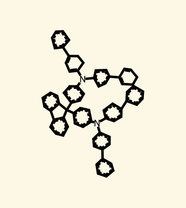 C1=CC(c2ccc(N(C3=CC=C(c4ccccc4)CC3)c3ccc(C4(c5ccc(N(c6ccc(-c7ccccc7)cc6)c6ccc(-c7ccccc7)cc6)cc5)c5ccccc5-c5ccccc54)cc3)cc2)=CCC1